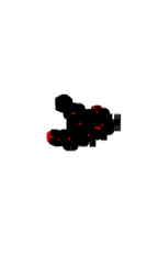 CC(C)C(=O)Nc1nc2c(ncn2[C@H]2CC(OC(=O)NCC(=O)OCc3ccccc3)[C@@H](COC(=O)NCC(=O)OCc3ccccc3)O2)c(=O)[nH]1